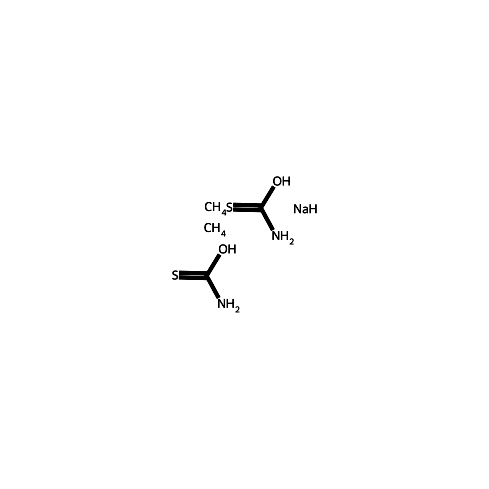 C.C.NC(O)=S.NC(O)=S.[NaH]